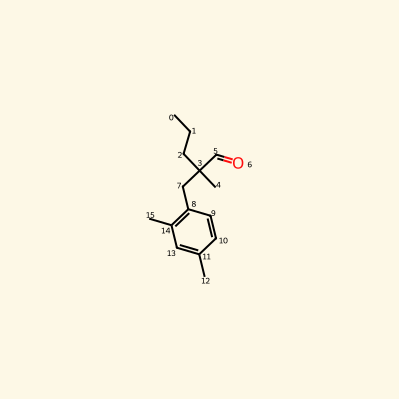 CCCC(C)(C=O)Cc1ccc(C)cc1C